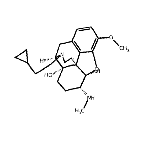 CN[C@@H]1CC[C@@]2(O)[C@H]3Cc4ccc(OC)c5c4[C@@]2(CCN3CC2CC2)[C@H]1O5